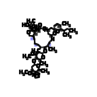 CCC(C)[C@H]1O[C@]2(C=C[C@@H]1C)C[C@@H]1C[C@@H](C/C=C(\C)[C@@H](OC3C[C@H](OC)[C@@H](OC4C[C@H](OC)[C@@]5(C=CCN5)[C@H](C)O4)[C@H](C)O3)C(C)/C=C/C=C3\CO[C@@H]4[C@H](O)C(C)=C[C@@H](C(=O)O1)[C@]34O)O2